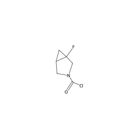 O=C(Cl)N1CC2CC2(F)C1